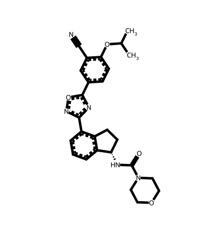 CC(C)Oc1ccc(-c2nc(-c3cccc4c3CC[C@@H]4NC(=O)N3CCOCC3)no2)cc1C#N